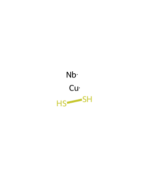 SS.[Cu].[Nb]